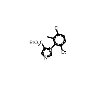 CCOC(=O)c1cncn1-c1c(CC)ccc(Cl)c1C